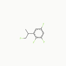 C[C](CF)c1cc(F)cc(F)c1F